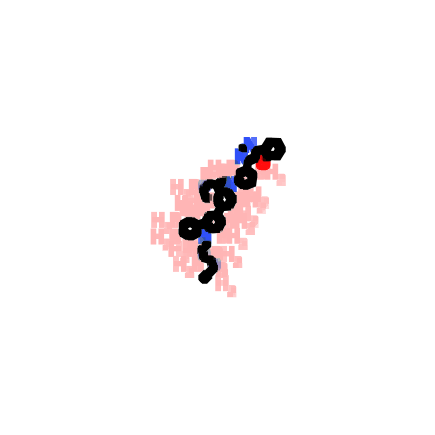 BC(=C)/C(B)=C(/B)c1c(B)n(-c2c(B)cc(B)c(-c3ncnc4c3oc3ccccc34)c2B)c2c(B)c(B)c(-c3c(B)c(B)c4c(c3B)c3c(B)c(B)c(B)c(B)c3n4C/C(B)=C(B)\C(B)=C(\B)C#C)c(B)c12